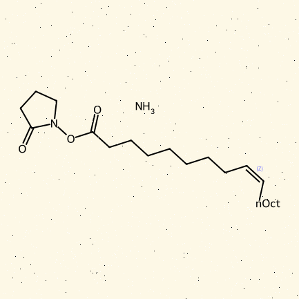 CCCCCCCC/C=C\CCCCCCCC(=O)ON1CCCC1=O.N